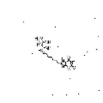 CN(CCCCCCCc1nc2c(c(=O)n(C)c(=O)n2C)n1C)C(=N)NC(=N)N